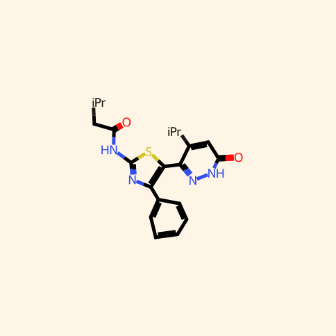 CC(C)CC(=O)Nc1nc(-c2ccccc2)c(-c2n[nH]c(=O)cc2C(C)C)s1